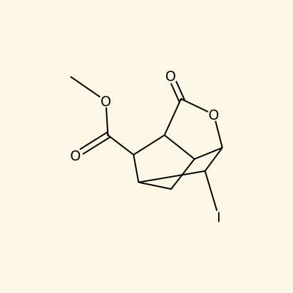 COC(=O)C1C2CC3C(OC(=O)C31)C2I